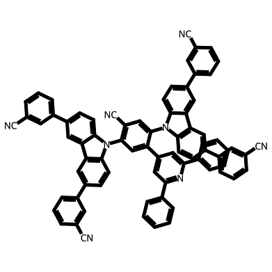 N#Cc1cccc(-c2ccc3c(c2)c2cc(-c4cccc(C#N)c4)ccc2n3-c2cc(-c3cc(-c4ccccc4)nc(-c4ccccc4)c3)c(-n3c4ccc(-c5cccc(C#N)c5)cc4c4cc(-c5cccc(C#N)c5)ccc43)cc2C#N)c1